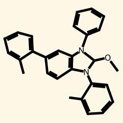 COC1N(c2ccccc2)c2cc(-c3ccccc3C)ccc2N1c1ccccc1C